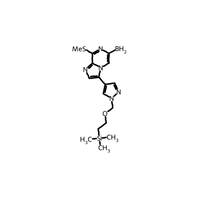 Bc1cn2c(-c3cnn(COCC[Si](C)(C)C)c3)cnc2c(SC)n1